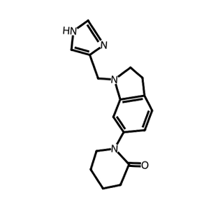 O=C1CCCCN1c1ccc2c(c1)N(Cc1c[nH]cn1)CC2